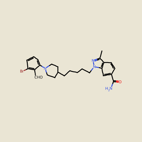 Cc1nn(CCCCCC2CCN(c3cccc(Br)c3C=O)CC2)c2cc(C(N)=O)ccc12